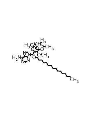 CCCCCCCCCCCCCCCCO[C@@H]([C@@H](OP(C)(=O)O)C(COC(C)C)OC)n1cnc2c(N)ncnc21